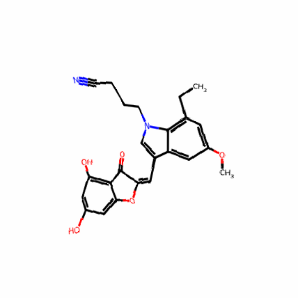 CCc1cc(OC)cc2c(/C=C3/Oc4cc(O)cc(O)c4C3=O)cn(CCCC#N)c12